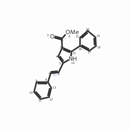 COC(=O)c1cc(/C=C/c2ccccc2)[nH]c1-c1ccccc1